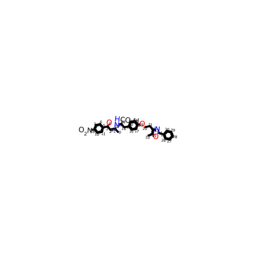 C/C(=C/C(=O)c1ccc([N+](=O)[O-])cc1)N[C@@H](Cc1ccc(OCCc2nc(-c3ccccc3)oc2C)cc1)C(=O)O